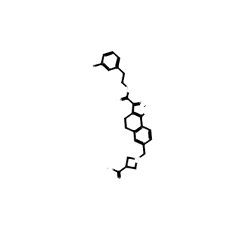 O=C(NCCc1cccc(Cl)c1)c1noc2c1CCc1cc(CN3CC(C(=O)O)C3)ccc1-2